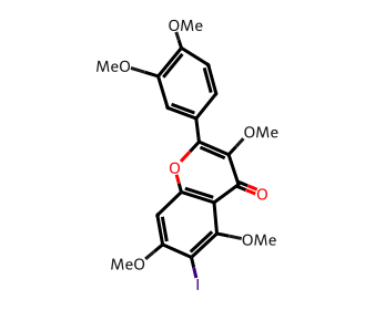 COc1ccc(-c2oc3cc(OC)c(I)c(OC)c3c(=O)c2OC)cc1OC